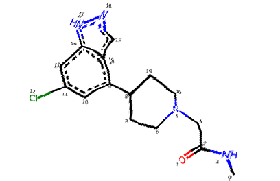 CNC(=O)CN1CCC(c2cc(Cl)cc3[nH]ncc23)CC1